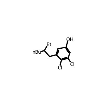 CCCCC(CC)Cc1cc(O)cc(Cl)c1Cl